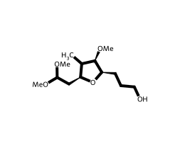 COC(C[C@@H]1O[C@H](CCCO)[C@H](OC)C1C)OC